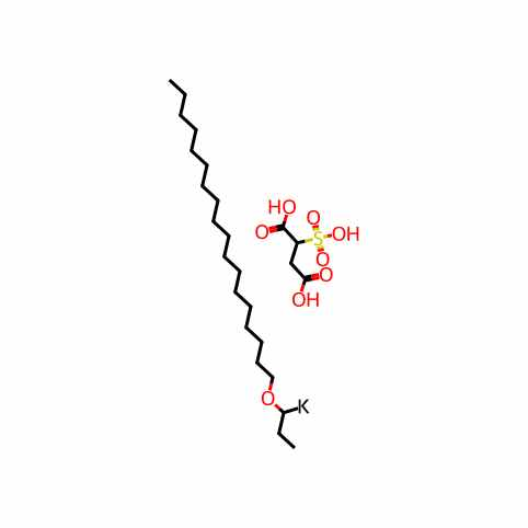 CCCCCCCCCCCCCCCCCCO[CH]([K])CC.O=C(O)CC(C(=O)O)S(=O)(=O)O